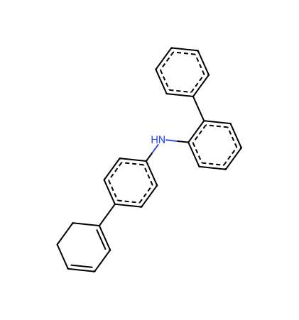 C1=CCCC(c2ccc(Nc3ccccc3-c3ccccc3)cc2)=C1